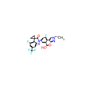 CCn1cc(-c2c(F)cc(NC(=O)C3(c4ccc(C(F)(F)F)cc4F)CC3)cc2C(=O)O)cn1